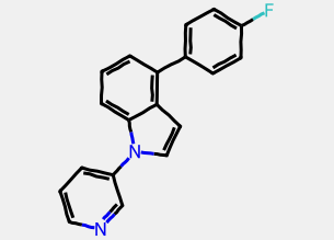 Fc1ccc(-c2cccc3c2ccn3-c2cccnc2)cc1